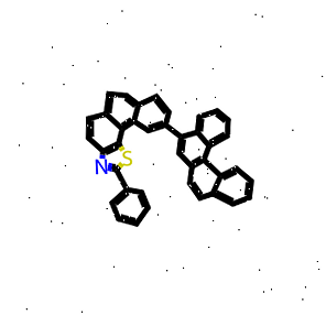 c1ccc(-c2nc3ccc4ccc5ccc(-c6cc7ccc8ccccc8c7c7ccccc67)cc5c4c3s2)cc1